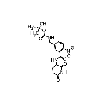 CC(C)(C)OC(=O)NCc1ccc([N+](=O)[O-])c(C(=O)NC2CCC(=O)NC2=O)c1